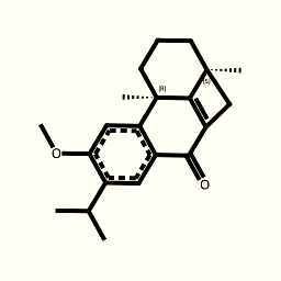 COc1cc2c(cc1C(C)C)C(=O)C1=C3[C@@](C)(CCC[C@@]32C)C1